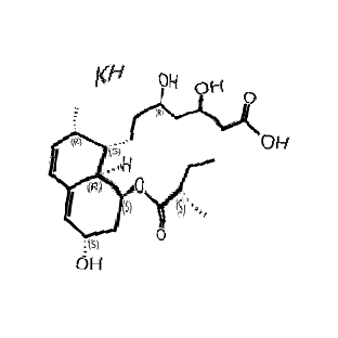 CC[C@H](C)C(=O)O[C@H]1C[C@H](O)C=C2C=C[C@H](C)[C@H](CC[C@@H](O)CC(O)CC(=O)O)[C@H]21.[KH]